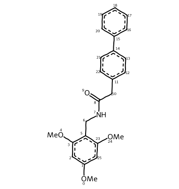 COc1cc(OC)c(CNC(=O)[CH]c2ccc(-c3ccccc3)cc2)c(OC)c1